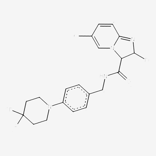 CCC1N=C2C=CC(Cl)=CN2C1C(=O)NCc1ccc(N2CCC(F)(F)CC2)cc1